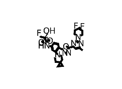 Cc1cc(-c2nnc(-c3ccc(NS(=O)(=O)[C@H](CO)CF)cc3N3CCC4(CC3)CC4)o2)nc(N2CCC(F)(F)CC2)n1